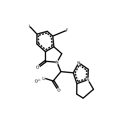 [Li][C](=O)C(c1ncn2c1CCC2)N1Cc2c(F)cc(I)cc2C1=O.[O-2]